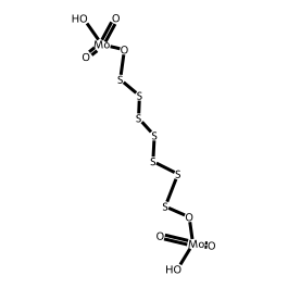 [O]=[Mo](=[O])([OH])[O]SSSSSSS[O][Mo](=[O])(=[O])[OH]